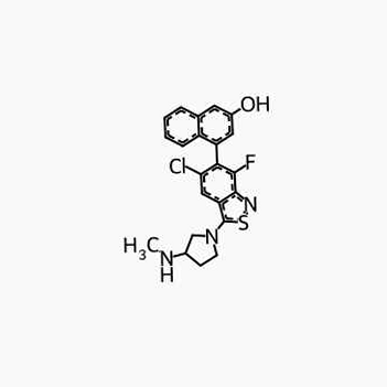 CNC1CCN(c2snc3c(F)c(-c4cc(O)cc5ccccc45)c(Cl)cc23)C1